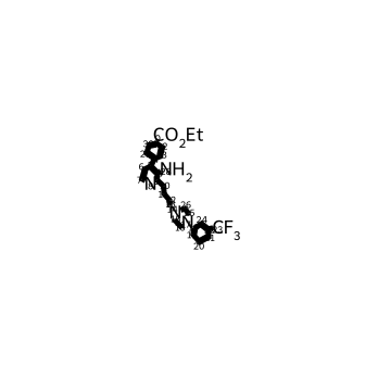 CCOC(=O)c1ccc(-c2ccnc(CCCCN3CCN(c4cccc(C(F)(F)F)c4)CC3)c2N)cc1